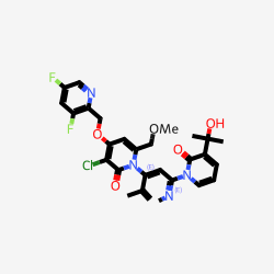 C=C(C)/C(=C\C(=N/C)n1cccc(C(C)(C)O)c1=O)n1c(COC)cc(OCc2ncc(F)cc2F)c(Cl)c1=O